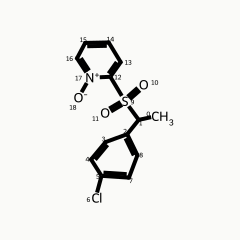 CC(c1ccc(Cl)cc1)S(=O)(=O)c1cccc[n+]1[O-]